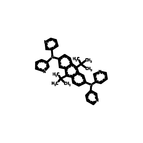 CC(C)(C)c1c2ccc(N(c3cccnc3)c3cccnc3)cc2c(C(C)(C)C)c2ccc(N(c3cccnc3)c3cccnc3)cc12